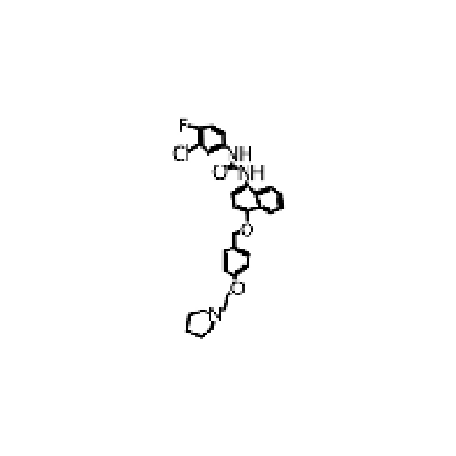 O=C(Nc1ccc(F)c(Cl)c1)Nc1ccc(OCc2ccc(OCCN3CCCCC3)cc2)c2ccccc12